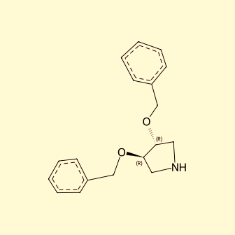 c1ccc(CO[C@@H]2CNC[C@H]2OCc2ccccc2)cc1